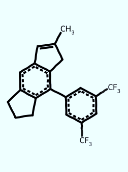 CC1=Cc2cc3c(c(-c4cc(C(F)(F)F)cc(C(F)(F)F)c4)c2C1)CCC3